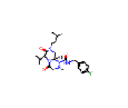 CC(C)CCN1C[C@H]2N(C(=O)CN(C)N2C(=O)NCc2ccc(F)cc2)[C@@H](C(C)C)C1=O